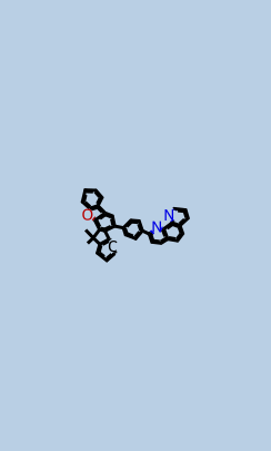 CC1(C)c2ccccc2-c2c(-c3ccc(-c4ccc5ccc6cccnc6c5n4)cc3)cc3c(oc4ccccc43)c21